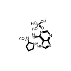 Nc1ncnc2nc[nH]c12.O=C(O)[C@@H]1CCCN1.O=P(O)(O)O